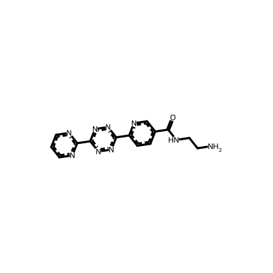 NCCNC(=O)c1ccc(-c2nnc(-c3ncccn3)nn2)nc1